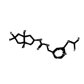 O=C(NCc1ccnc(OC(F)F)c1)N[C@H]1C[C@@H]2CC(F)(F)C[C@@H]2C1